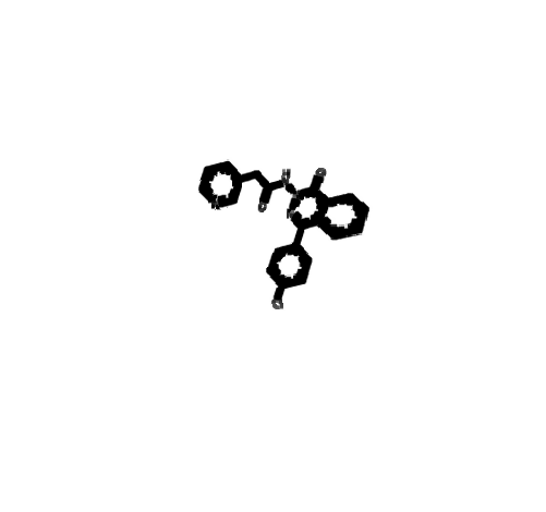 O=C(Cc1cccnc1)Nn1nc(-c2ccc(Cl)cc2)c2ccccc2c1=O